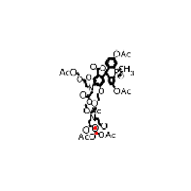 CC(=O)OCOC(=O)CN(CCOCCOc1cc2c(cc1N(CC(=O)OCOC(C)=O)CC(=O)OCOC(C)=O)C(=O)OC21c2ccc(OC(C)=O)cc2P(C)(=O)c2cc(OC(C)=O)ccc21)CC(=O)OCOC(C)=O